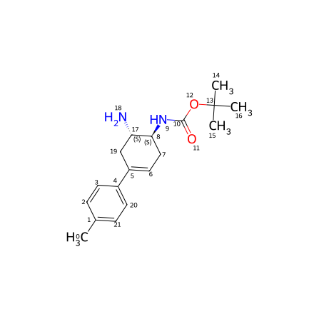 Cc1ccc(C2=CC[C@H](NC(=O)OC(C)(C)C)[C@@H](N)C2)cc1